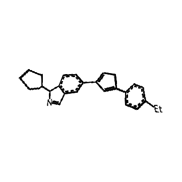 CCc1ccc(C2=CC(c3ccc4c(c3)C=NC4C3CCCC3)=CC2)cc1